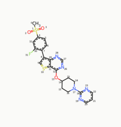 CS(=O)(=O)c1ccc(-c2csc3c(OC4CCN(c5ncccn5)CC4)ncnc23)c(F)c1